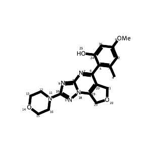 COc1cc(C)c(-c2nc3nc(N4CCOCC4)nn3c3c2COC3)c(O)c1